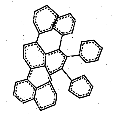 c1ccc(-c2c(-c3ccccc3)c3c(-c4ccccc4)ccc4c5cccc6cccc(c(c2-c2ccccc2)c34)c65)cc1